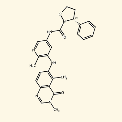 Cc1ncc(NC(=O)N2OCC[C@@H]2c2ccccc2)cc1Nc1ccc2ncn(C)c(=O)c2c1C